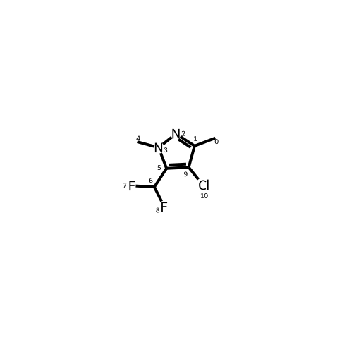 Cc1nn(C)c(C(F)F)c1Cl